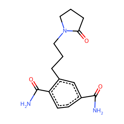 NC(=O)c1ccc(C(N)=O)c(CCCN2CCCC2=O)c1